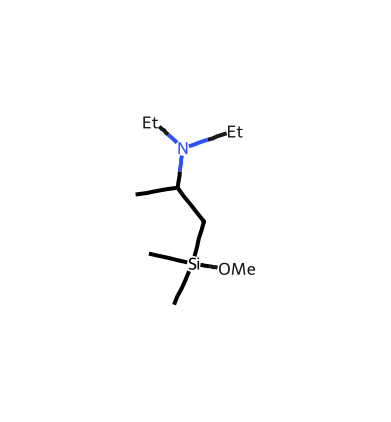 CCN(CC)C(C)C[Si](C)(C)OC